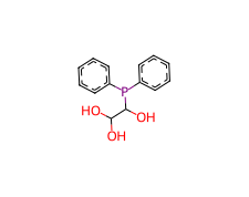 OC(O)C(O)P(c1ccccc1)c1ccccc1